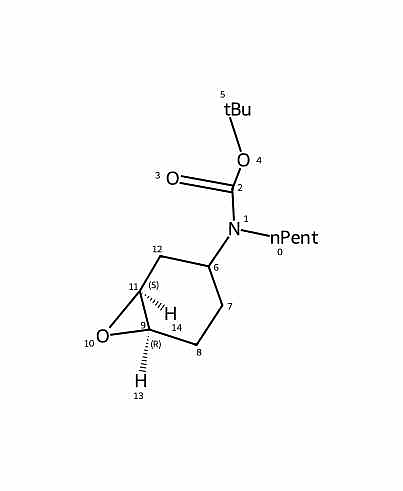 CCCCCN(C(=O)OC(C)(C)C)C1CC[C@H]2O[C@H]2C1